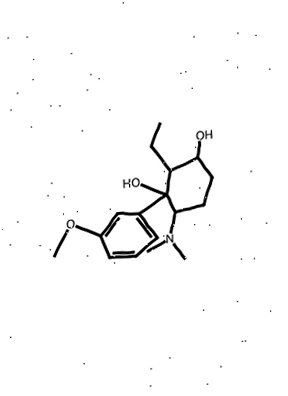 CCC1C(O)CCC(N(C)C)C1(O)c1cccc(OC)c1